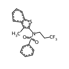 Cc1c(N(CCC(F)(F)F)S(=O)(=O)c2ccccc2)sc2ccccc12